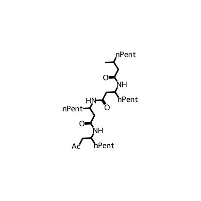 CCCCCC(C)CC(=O)NC(CCCCC)CC(=O)NC(CCCCC)CC(=O)NC(CCCCC)CC(C)=O